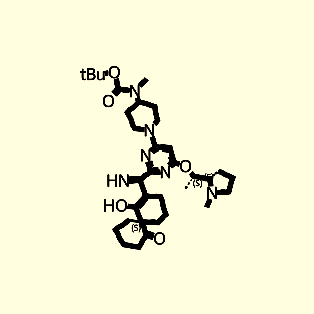 C[C@H](Oc1cc(N2CCC(N(C)C(=O)OC(C)(C)C)CC2)nc(C(=N)C2=C(O)[C@]3(CCCCC3=O)CCC2)n1)[C@@H]1CCCN1C